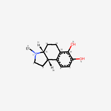 CCN1CC[C@H]2c3ccc(O)c(O)c3CC[C@H]21